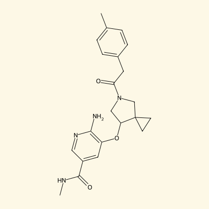 CNC(=O)c1cnc(N)c(OC2CN(C(=O)Cc3ccc(C)cc3)CC23CC3)c1